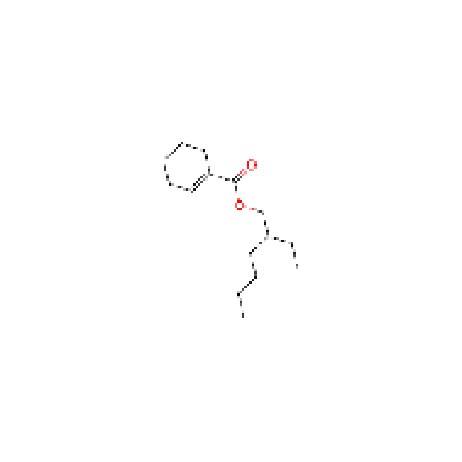 CCCCC(CC)COC(=O)C1=CCCCC1